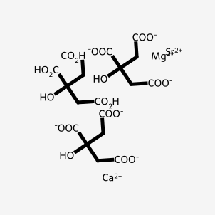 O=C(O)CC(O)(CC(=O)O)C(=O)O.O=C([O-])CC(O)(CC(=O)[O-])C(=O)[O-].O=C([O-])CC(O)(CC(=O)[O-])C(=O)[O-].[Ca+2].[Mg+2].[Sr+2]